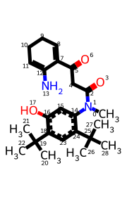 CN(C(=O)CC(=O)C1=CCCC=C1N)c1cc(O)c(C(C)(C)C)cc1C(C)(C)C